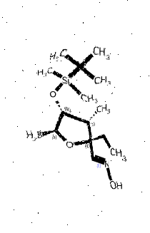 B[C@@H]1O[C@](/C=N/O)(CC)[C@@H](C)[C@H]1O[Si](C)(C)C(C)(C)C